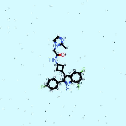 Cc1nccn1CC(=O)NC1CC(c2c(-c3ccc(F)cc3)[nH]c3c(F)cc(F)cc23)C1